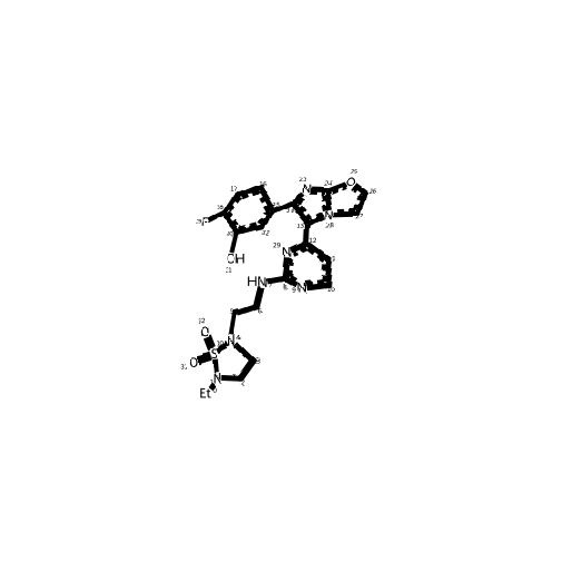 CCN1CCN(CCNc2nccc(-c3c(-c4ccc(F)c(O)c4)nc4occn34)n2)S1(=O)=O